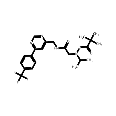 CC(C)N(CC(=O)NCc1cc(-c2ccc(C(F)(F)F)cc2)ncn1)OC(=O)C(C)(C)C